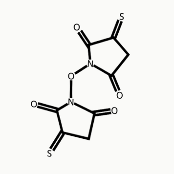 O=C1CC(=S)C(=O)N1ON1C(=O)CC(=S)C1=O